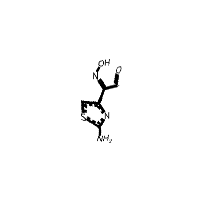 Nc1nc(/C([C]=O)=N/O)cs1